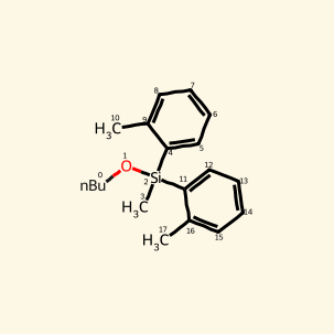 CCCCO[Si](C)(c1ccccc1C)c1ccccc1C